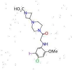 COc1cc(Cl)c(I)cc1NCC(=O)N1CCN(C2CN(C(=O)O)C2)CC1